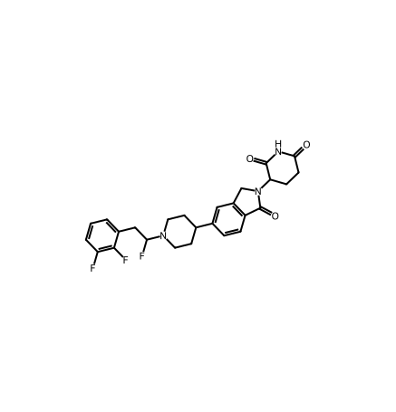 O=C1CCC(N2Cc3cc(C4CCN(C(F)Cc5cccc(F)c5F)CC4)ccc3C2=O)C(=O)N1